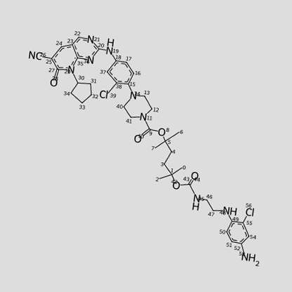 CC(C)(CCC(C)(C)OC(=O)N1CCN(c2ccc(Nc3ncc4cc(C#N)c(=O)n(C5CCCC5)c4n3)cc2Cl)CC1)OC(=O)NCCNc1ccc(N)cc1Cl